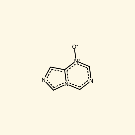 [O-][n+]1cncn2cncc21